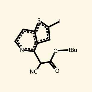 CC(C)(C)OC(=O)C(C#N)c1nccc2sc(I)cc12